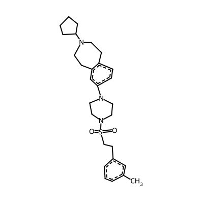 Cc1cccc(CCS(=O)(=O)N2CCN(c3ccc4c(c3)CCN(C3CCCC3)CC4)CC2)c1